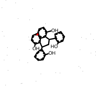 Oc1ccccc1C(CC(c1ccccc1O)c1ccccc1O)c1ccccc1O